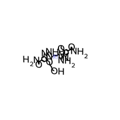 COc1cc(C(N)=O)cc2nc(N)n(C/C=C/Cn3c(N)nc4cc(C(N)=O)cc(OCCCO)c43)c12